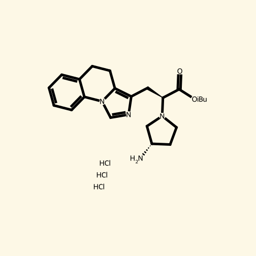 CC(C)COC(=O)[C@H](Cc1ncn2c1CCc1ccccc1-2)N1CC[C@H](N)C1.Cl.Cl.Cl